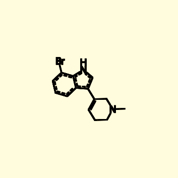 CN1CCC=C(c2c[nH]c3c(Br)cccc23)C1